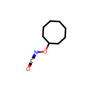 O=C=NOC1CCCCCCC1